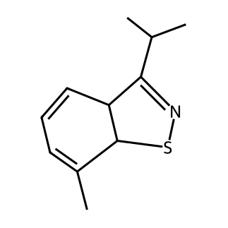 CC1=CC=CC2C(C(C)C)=NSC12